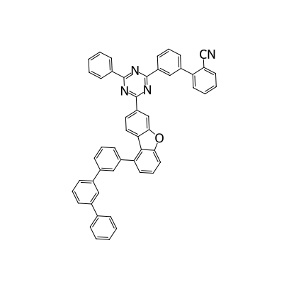 N#Cc1ccccc1-c1cccc(-c2nc(-c3ccccc3)nc(-c3ccc4c(c3)oc3cccc(-c5cccc(-c6cccc(-c7ccccc7)c6)c5)c34)n2)c1